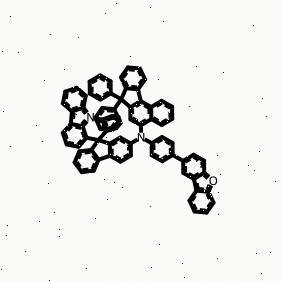 c1ccc(C2(c3ccccc3)c3ccccc3-c3c2cc(N(c2ccc(-c4ccc5oc6ccccc6c5c4)cc2)c2ccc4c(c2)C2(c5ccccc5-4)c4ccccc4-n4c5ccccc5c5cccc2c54)c2ccccc32)cc1